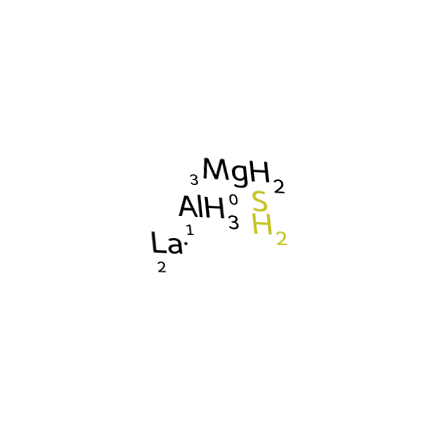 S.[AlH3].[La].[MgH2]